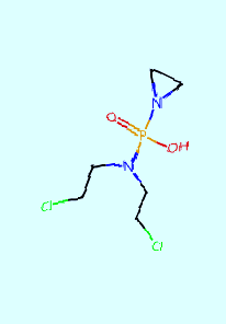 O=P(O)(N(CCCl)CCCl)N1CC1